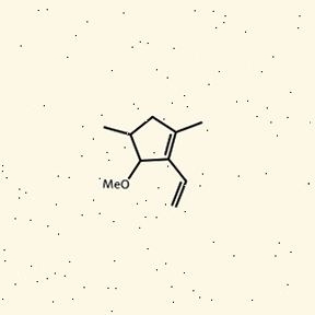 C=CC1=C(C)CC(C)C1OC